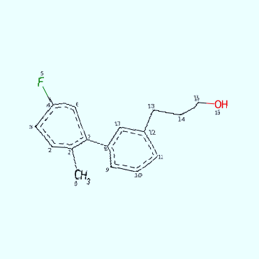 Cc1ccc(F)cc1-c1cccc(CCCO)c1